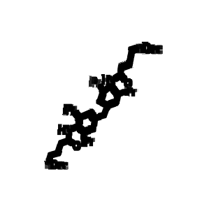 CCCCCCCCCCCCCC(=O)Nc1c(C(C)C)cc(Cc2cc(C(C)C)c(NC(=O)CCCCCCCCCCCCC)c(C(C)C)c2)cc1C(C)C